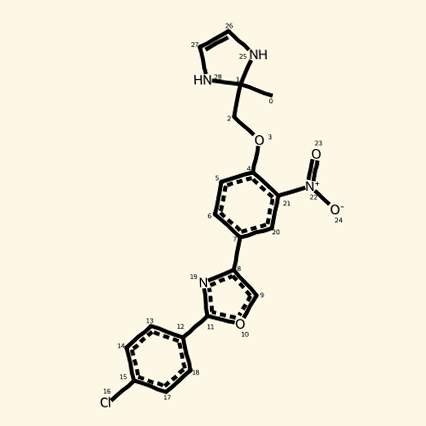 CC1(COc2ccc(-c3coc(-c4ccc(Cl)cc4)n3)cc2[N+](=O)[O-])NC=CN1